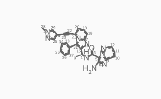 C[C@H](NC(=O)c1c(N)nc2cccnn12)c1nc2cccc(C#Cc3cnn(C)c3)n2c1-c1ccccc1